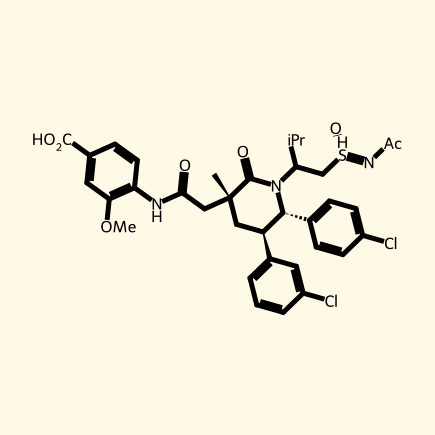 COc1cc(C(=O)O)ccc1NC(=O)C[C@@]1(C)C[C@H](c2cccc(Cl)c2)[C@@H](c2ccc(Cl)cc2)N(C(C[SH](=O)=NC(C)=O)C(C)C)C1=O